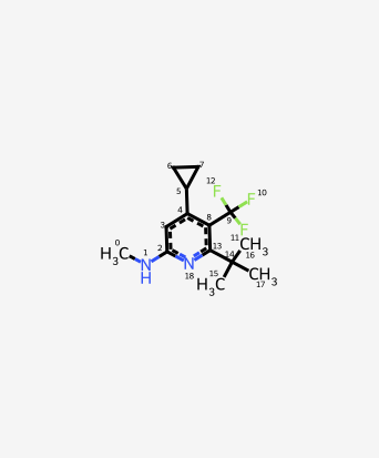 CNc1cc(C2CC2)c(C(F)(F)F)c(C(C)(C)C)n1